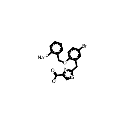 O=C([O-])c1csc(Cc2cc(Br)ccc2OCc2ccccc2F)n1.[Na+]